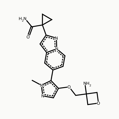 Cn1ncc(OCC2(N)COC2)c1-c1ccn2nc(C3(C(N)=O)CC3)cc2c1